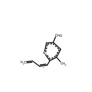 C=C/C=C\c1ncc(C=O)cc1C